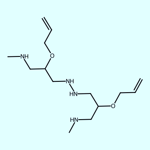 C=CCOC(CNC)CNNCC(CNC)OCC=C